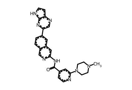 CN1CCN(c2cc(C(=O)Nc3cc4cc(-c5cnc6cc[nH]c6n5)ccc4cn3)ccn2)CC1